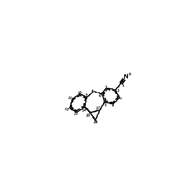 N#Cc1ccc2c(c1)Cc1ccccc1C1CC21